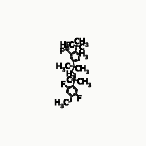 CCc1cc(F)c(C(C)(C)CCC(C)(C)c2ccc(C(C)(C)C)c(C(F)F)c2)cc1F